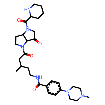 CC(CCNC(=O)c1ccc(N2CCN(C)CC2)cc1)CC(=O)N1CCC2C1C(=O)CN2C(=O)C1CCCCN1